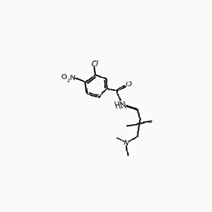 CN(C)CC(C)(C)CNC(=O)c1ccc([N+](=O)[O-])c(Cl)c1